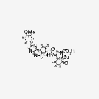 COC1CCC(c2cnc(N)c(-c3ccc(C(=O)N[C@H](CN(C(=O)O)C(C)(C)C)c4cccc(Cl)c4)c(F)c3)n2)CC1